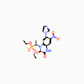 CCOP(=O)(OCC)C(C)n1c(=O)c(=O)[nH]c2cc([N+](=O)[O-])c(-n3ccnc3)cc21